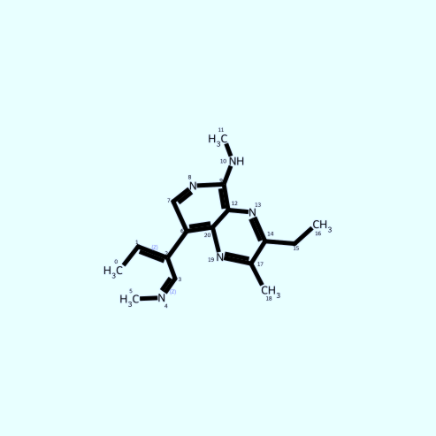 C/C=C(\C=N/C)c1cnc(NC)c2nc(CC)c(C)nc12